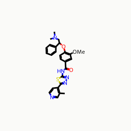 COc1cc(C(=O)Nc2nnc(-c3ccncc3C)s2)ccc1OC(CN(C)C)c1ccccc1